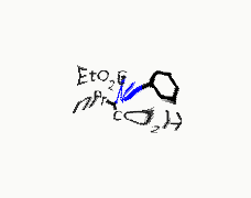 CCCC(C(=O)O)N(C(=O)OCC)C1CCCCC1